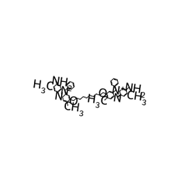 CC1=CC2=Nc3cc(C)c(N)cc3N(c3ccccc3)C2C=C1OCCCCCCCCOc1cc2c(cc1C)nc1cc(C)c(N)cc1[n+]2-c1ccccc1